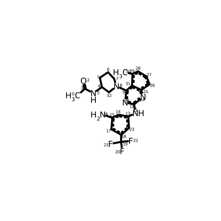 CC(=O)NC1CCCN(c2nc(Nc3cc(N)cc(C(F)(F)F)c3)nc3cccc(C)c23)C1